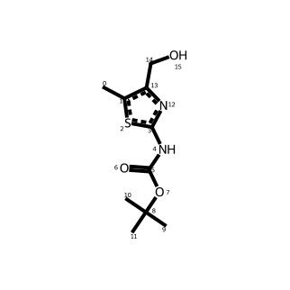 Cc1sc(NC(=O)OC(C)(C)C)nc1CO